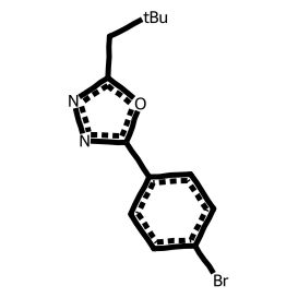 CC(C)(C)Cc1nnc(-c2ccc(Br)cc2)o1